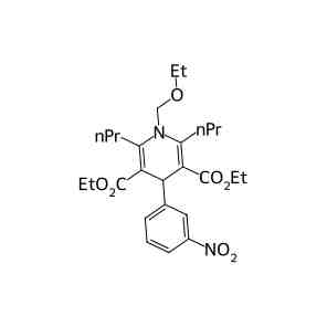 CCCC1=C(C(=O)OCC)C(c2cccc([N+](=O)[O-])c2)C(C(=O)OCC)=C(CCC)N1COCC